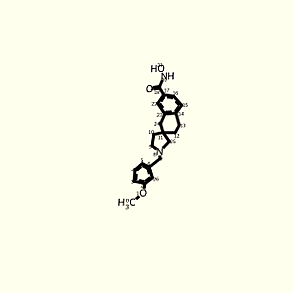 COc1cccc(CN2CCC3(CCc4ccc(C(=O)NO)cc4C3)C2)c1